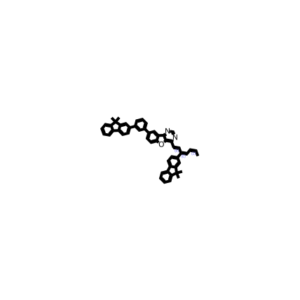 C\C=C/C=C(\C=C\c1ncnc2c1oc1ccc(-c3cccc(-c4ccc5c(c4)C(C)(C)c4ccccc4-5)c3)cc12)c1ccc2c(c1)C(C)(C)c1ccccc1-2